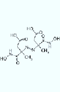 CC(CC(=O)O)(N=NC(C)(CC(=O)O)C(=O)NO)C(=O)NO